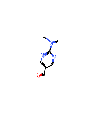 CN(C)c1ncc(C=O)cn1